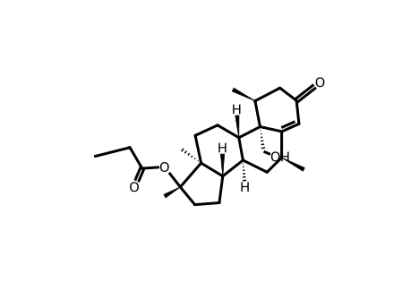 CCC(=O)O[C@@]1(C)CC[C@H]2[C@@H]3C[C@H](C)C4=CC(=O)C[C@H](C)[C@]4(CO)[C@H]3CC[C@@]21C